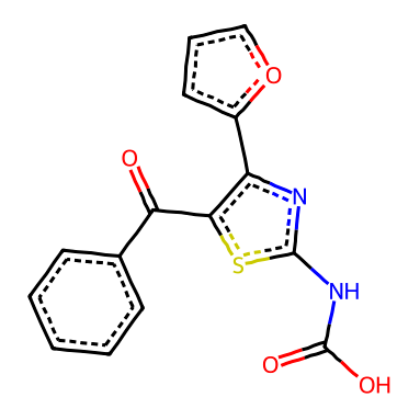 O=C(O)Nc1nc(-c2ccco2)c(C(=O)c2ccccc2)s1